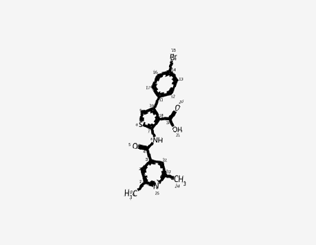 Cc1cc(C(=O)Nc2scc(-c3ccc(Br)cc3)c2C(=O)O)cc(C)n1